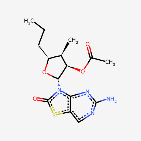 CCC[C@H]1O[C@@H](n2c(=O)sc3cnc(N)nc32)[C@H](OC(C)=O)[C@@H]1C